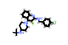 CC(C)(C)NC1CCN(c2c(F)c(NCc3ccc(Cl)cc3)nc3ccccc23)CC1